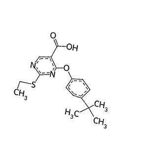 CCSc1ncc(C(=O)O)c(Oc2ccc(C(C)(C)C)cc2)n1